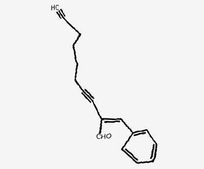 C#CCCCCC#C/C(C=O)=C/c1ccccc1